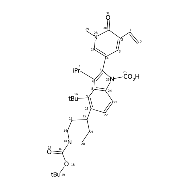 C=Cc1cc(-c2c(C(C)C)c3c(C(C)(C)C)c(C4CCN(C(=O)OC(C)(C)C)CC4)ccc3n2C(=O)O)cn(C)c1=O